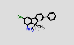 CC1(C)c2cc(-c3ccccc3)ccc2-c2cc(Br)cc(N)c21